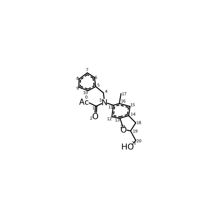 CC(=O)C(=O)N(Cc1ccccc1)c1cc2c(cc1C)CC(CO)O2